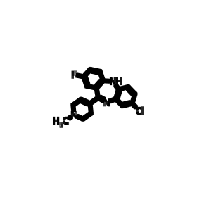 CN1CC=C(C2=Nc3cc(Cl)ccc3Nc3ccc(F)cc32)CC1